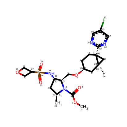 COC(=O)N1[C@H](CO[C@H]2CC[C@@]3(c4ncc(F)cn4)C[C@H]3C2)[C@H](NS(=O)(=O)C2COC2)C[C@@H]1C